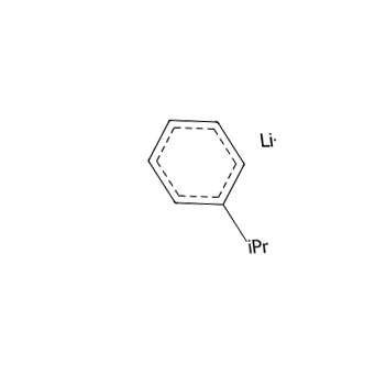 CC(C)c1ccccc1.[Li]